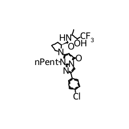 CCCCCn1c(N2CCC[C@H]2C(=O)NC(C)C(O)C(F)(F)F)cc(=O)n2cc(-c3ccc(Cl)cc3)nc12